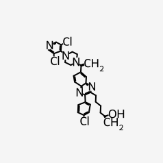 C=C(O)CCCCc1nc2cc(C(=C)N3CCN(c4c(Cl)cncc4Cl)CC3)ccc2nc1-c1ccc(Cl)cc1